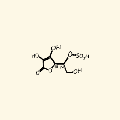 O=C1O[C@H]([C@H](CO)OS(=O)(=O)O)C(O)=C1O